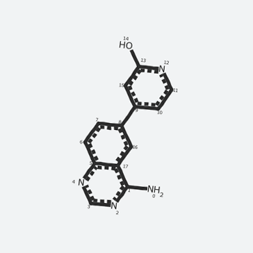 Nc1ncnc2ccc(-c3ccnc(O)c3)cc12